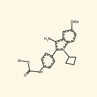 COc1ccc2c(c1)c(N)c(-c1ccc(NC(=O)OC(C)C)cc1)n2C1CCC1